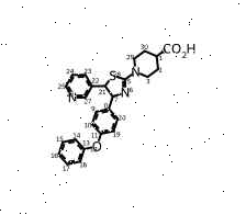 O=C(O)C1CCN(C2=NC(c3ccc(Oc4ccccc4)cc3)C(c3cccnc3)S2)CC1